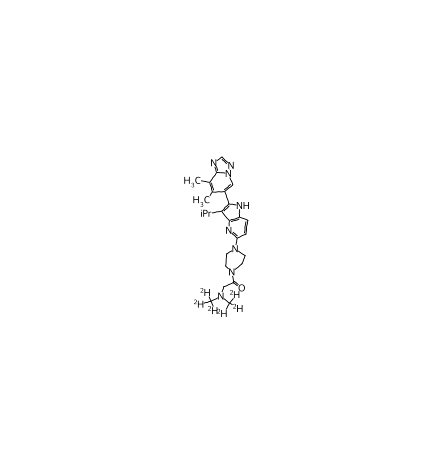 [2H]C([2H])([2H])N(CC(=O)N1CCN(c2ccc3[nH]c(-c4cn5ncnc5c(C)c4C)c(C(C)C)c3n2)CC1)C([2H])([2H])[2H]